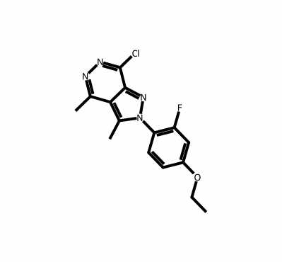 CCOc1ccc(-n2nc3c(Cl)nnc(C)c3c2C)c(F)c1